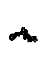 C[C@@]1(N)CCN(S(=O)(=O)NCCOCc2ccccc2)C1